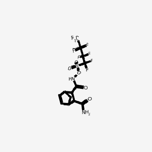 NC(=O)C1C2C=CC(C2)C1C(=O)NOS(=O)(=O)C(F)(F)C(F)(F)C(F)(F)C(F)(F)F